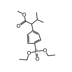 CCOP(=O)(OCC)c1ccc(C(C(=O)OC)C(C)C)cc1